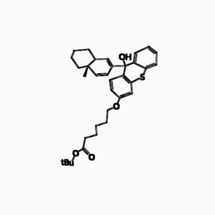 CC(C)(C)OC(=O)CCCCCOc1ccc2c(c1)Sc1ccccc1C2(O)C1=CC2CCCC[C@@]2(C)C=C1